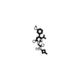 COc1cccc(-c2cc(=O)n(CC(=O)NC3CC(C)C3)nc2C(C)C)c1